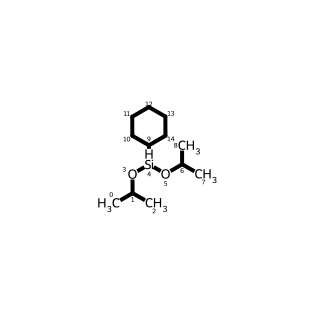 CC(C)O[SiH](OC(C)C)C1CCCCC1